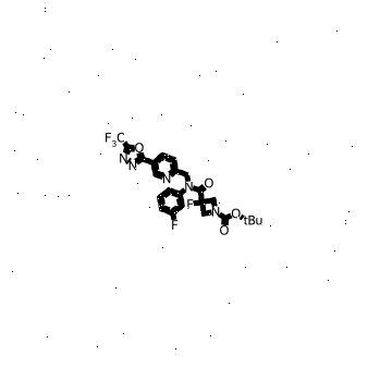 CC(C)(C)OC(=O)N1CC(F)(C(=O)N(Cc2ccc(-c3nnc(C(F)(F)F)o3)cn2)c2cccc(F)c2)C1